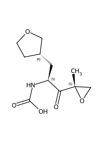 C[C@@]1(C(=O)[C@H](C[C@@H]2CCOC2)NC(=O)O)CO1